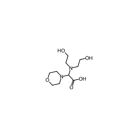 O=C(O)C(N(CCO)CCO)N1CCOCC1